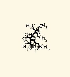 CCc1nn(CC)c(CC)c1Cc1sc2c(CC(C)C)nn(C)c(=O)c2c1C(=O)O